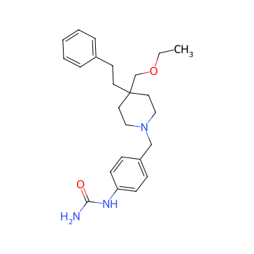 CCOCC1(CCc2ccccc2)CCN(Cc2ccc(NC(N)=O)cc2)CC1